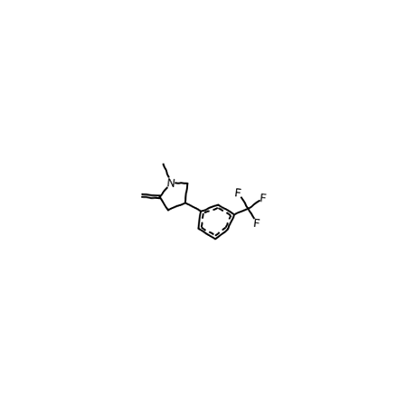 C=C1CC(c2cccc(C(F)(F)F)c2)CN1C